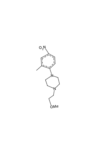 COCCN1CCN(c2ccc([N+](=O)[O-])cc2C)CC1